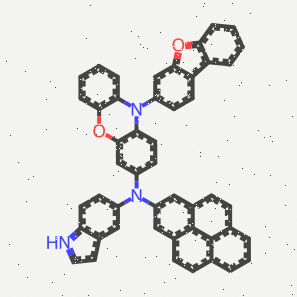 c1ccc2c(c1)Oc1cc(N(c3ccc4[nH]ccc4c3)c3cc4ccc5cccc6ccc(c3)c4c56)ccc1N2c1ccc2c(c1)oc1ccccc12